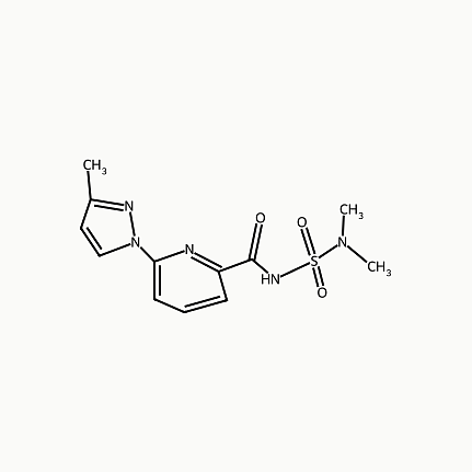 Cc1ccn(-c2cccc(C(=O)NS(=O)(=O)N(C)C)n2)n1